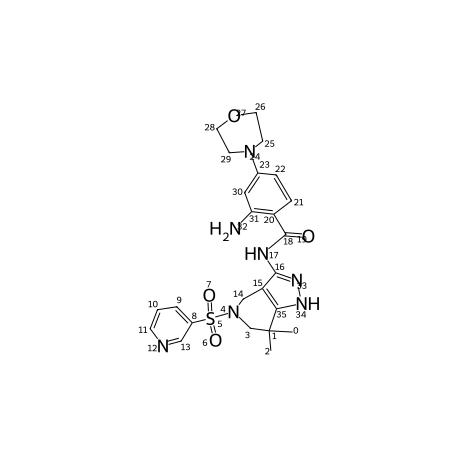 CC1(C)CN(S(=O)(=O)c2cccnc2)Cc2c(NC(=O)c3ccc(N4CCOCC4)cc3N)n[nH]c21